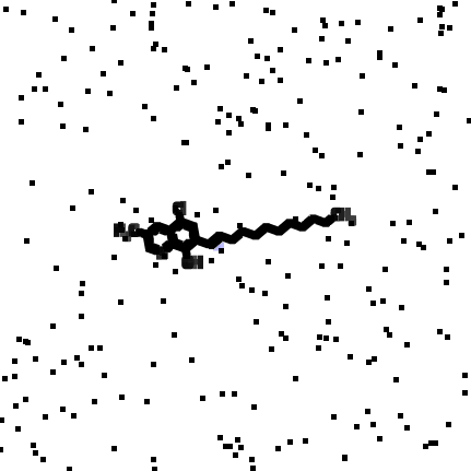 CCCCCCCCCC/C=C/c1cc(Cl)c2cc(C)cnc2c1O